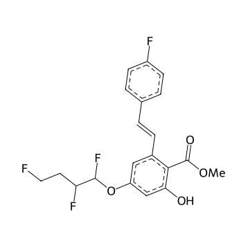 COC(=O)c1c(O)cc(OC(F)C(F)CCF)cc1C=Cc1ccc(F)cc1